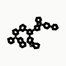 c1ccc(-c2ccc(-n3c4ccccc4c4cc(-c5cc(-c6cccc(-c7cccc(N(c8ccccc8)c8ccc9ccccc9c8)c7)c6)cc(-c6ccc7oc8ccccc8c7c6)c5)ccc43)cc2)cc1